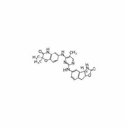 Cc1cnc(Nc2ccc3c(c2)[C@H]2NC(=O)OC2C3)nc1Nc1ccc2c(c1)NC(=O)C(C)(C)O2